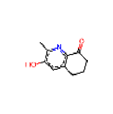 Cc1nc2c(cc1O)CCCC2=O